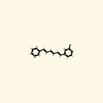 Cc1cccc(C=CC=CC=Cc2ccccc2)c1